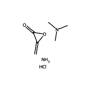 C=C1OC1=O.CN(C)C.Cl.N